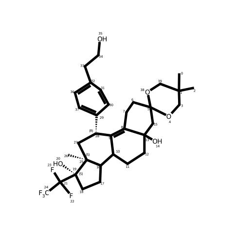 CC1(C)COC2(CCC3=C4C(CCC3(O)C2)C2CC[C@@](O)(C(F)(F)C(F)(F)F)[C@@]2(C)C[C@@H]4c2ccc(CCO)cc2)OC1